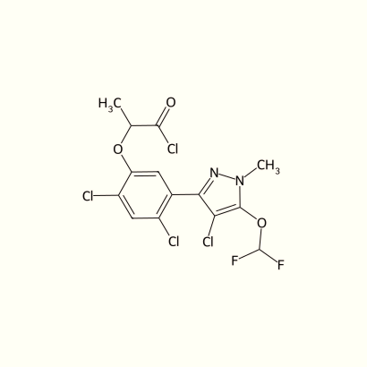 CC(Oc1cc(-c2nn(C)c(OC(F)F)c2Cl)c(Cl)cc1Cl)C(=O)Cl